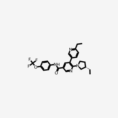 CCc1ccc(-c2cc(C(=O)Nc3ccc(OC(F)(F)F)cc3)cnc2N2CC[C@H](CC)C2)cn1